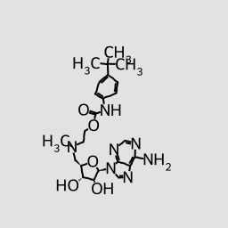 CN(CCOC(=O)Nc1ccc(C(C)(C)C)cc1)C[C@H]1O[C@@H](n2cnc3c(N)ncnc32)[C@H](O)[C@@H]1O